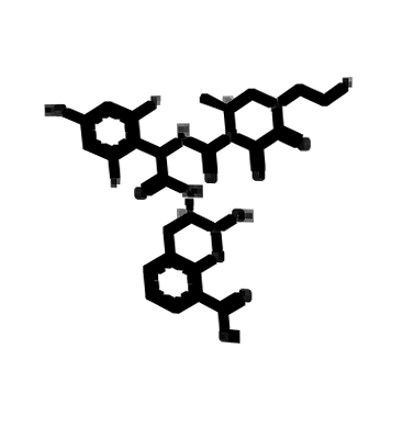 C[C@H]1CN(CCF)C(=O)C(=O)N1C(=O)NC(C(=O)N[C@H]1Cc2cccc(C(=O)O)c2OB1O)c1c(F)cc(O)cc1F